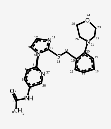 CC(=O)Nc1ccc(-n2ccnc2SCc2ccccc2N2CCOCC2)nc1